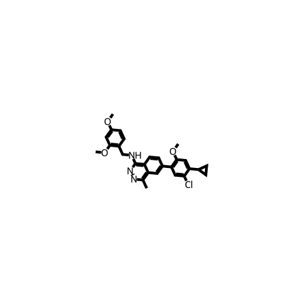 COc1ccc(CNc2nnc(C)c3cc(-c4cc(Cl)c(C5CC5)cc4OC)ccc23)c(OC)c1